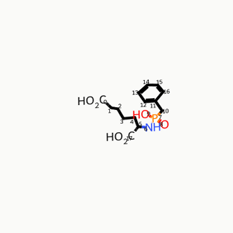 O=C(O)CCCCC(NP(=O)(O)Cc1ccccc1)C(=O)O